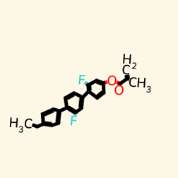 C=C(C)C(=O)Oc1ccc(-c2ccc(-c3ccc(CC)cc3)c(F)c2)c(F)c1